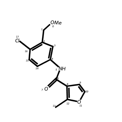 COCc1cc(NC(=O)c2ccoc2C)ccc1Cl